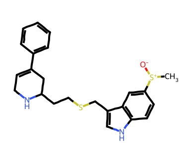 C[S+]([O-])c1ccc2[nH]cc(CSCCC3CC(c4ccccc4)=CCN3)c2c1